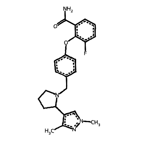 Cc1nn(C)cc1C1CCCN1Cc1ccc(Oc2c(F)cccc2C(N)=O)cc1